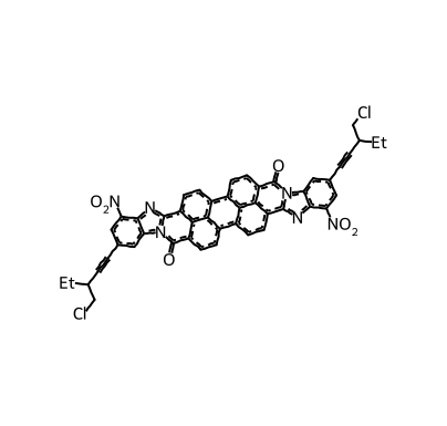 CCC(C#Cc1cc([N+](=O)[O-])c2nc3c4ccc5c6ccc7c(=O)n8c9cc(C#CC(CC)CCl)cc([N+](=O)[O-])c9nc8c8ccc(c9ccc(c(=O)n3c2c1)c4c95)c6c78)CCl